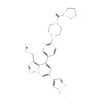 C=NCc1cnn2cc(-c3cnn(C)c3)cc(-c3ccc(N4CCN(C(=O)N5CC[C@H](F)C5)CC4)nc3)c12